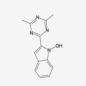 Cc1nc(C)nc(-c2cc3ccccc3n2O)n1